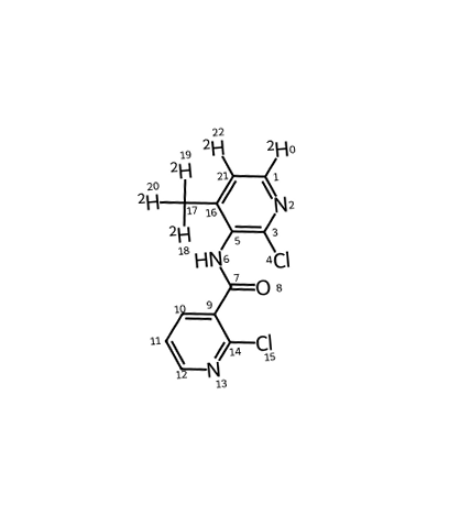 [2H]c1nc(Cl)c(NC(=O)c2cccnc2Cl)c(C([2H])([2H])[2H])c1[2H]